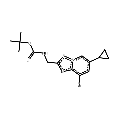 CC(C)(C)OC(=O)NCc1nc2c(Br)cc(C3CC3)cn2n1